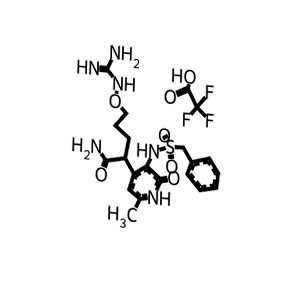 Cc1cc(C(CCCONC(=N)N)C(N)=O)c(NS(=O)(=O)Cc2ccccc2)c(=O)[nH]1.O=C(O)C(F)(F)F